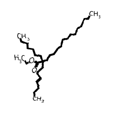 CCCCCCCCCCCCCCC(CCCCCCC)(CCCCCCC)C(=O)OCC